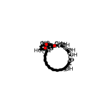 CC1OC(O[C@H]2/C=C/C=C/C=C/C=C/C=C/C=C/C=C/[C@H](C)[C@@H](O)[C@@H](C)[C@H](C)OC(=O)C[C@H](O)C[C@H](O)CC[C@@H](O)[C@H](O)C[C@H](O)C[C@]3(O)C[C@H](O)[C@@H](C(=O)O)[C@H](C2)O3)C(O)CC1O